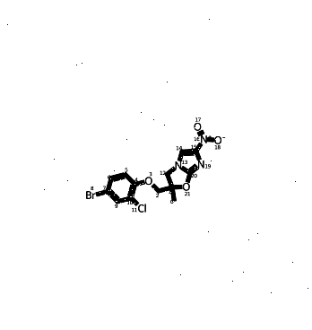 CC1(COc2ccc(Br)cc2Cl)Cn2cc([N+](=O)[O-])nc2O1